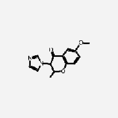 COc1ccc2c(c1)C(=O)C(n1ccnc1)C(C)O2